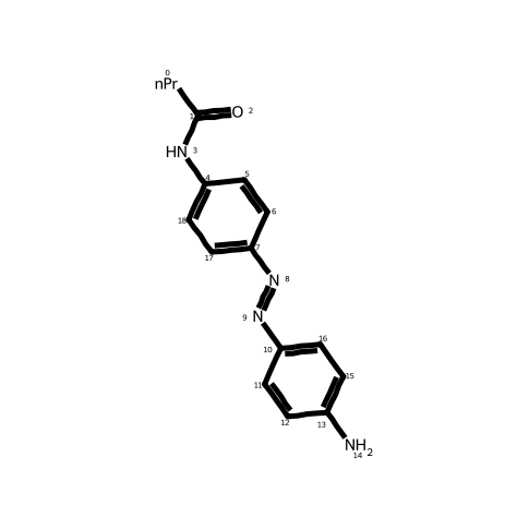 CCCC(=O)Nc1ccc(N=Nc2ccc(N)cc2)cc1